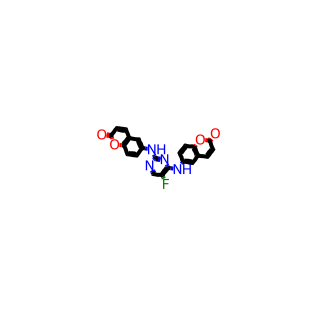 O=c1ccc2cc(Nc3ncc(F)c(Nc4ccc5oc(=O)ccc5c4)n3)ccc2o1